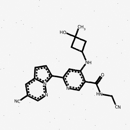 CC1(O)CC(Nc2cc(-c3ccc4cc(C#N)cnn34)ncc2C(=O)NCC#N)C1